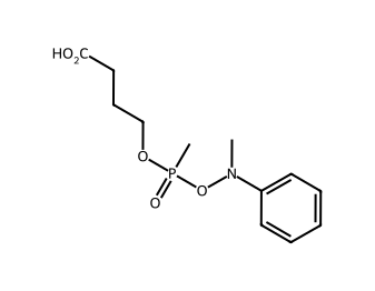 CN(OP(C)(=O)OCCCC(=O)O)c1ccccc1